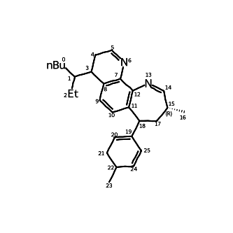 CCCCC(CC)C1CC=Nc2c1ccc1c2N=C[C@H](C)CC1C1=CCC(C)C=C1